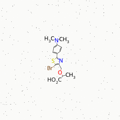 CC(OCc1nc(-c2ccc(N(C)C)cc2)sc1Br)C(=O)O